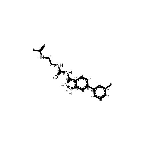 C=C(C)NCCNC(=O)Nc1n[nH]c2cc(-c3cccc(C)c3)ccc12